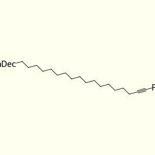 CCCCCCCCCCCCCCCCCCCCCCCCCCC#C[P]